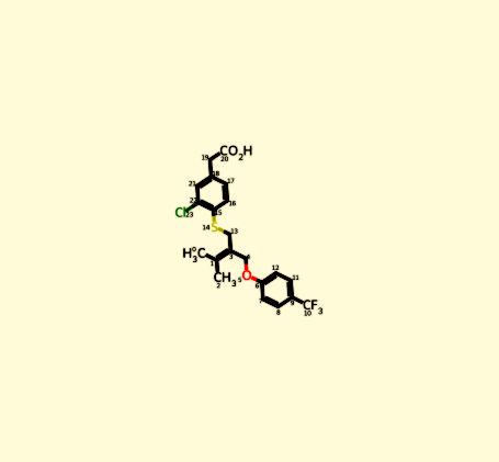 CC(C)=C(COc1ccc(C(F)(F)F)cc1)CSc1ccc(CC(=O)O)cc1Cl